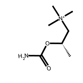 C[C@@H](C[N+](C)(C)C)OC(N)=O